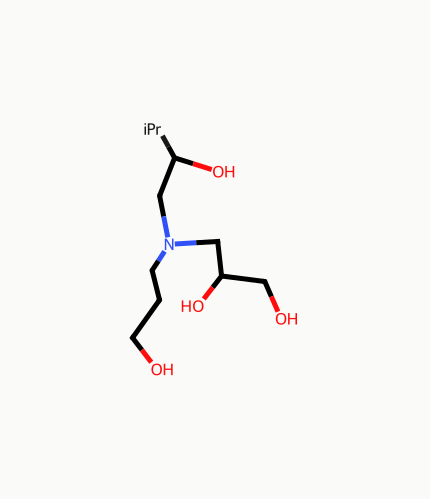 CC(C)C(O)CN(CCCO)CC(O)CO